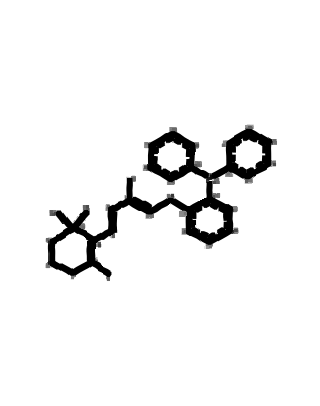 CC(C=CC1=C(C)CCCC1(C)C)=CCc1ccccc1P(c1ccccc1)c1ccccc1